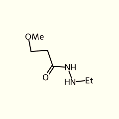 CCNNC(=O)CCOC